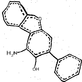 Nc1c(O)c(-c2ccccc2)cc2oc3ccccc3c12